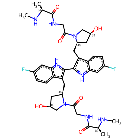 CN[C@@H](C)C(=O)NCC(=O)N1C[C@@H](O)C[C@H]1Cc1c(-c2[nH]c3cc(F)ccc3c2C[C@@H]2C[C@H](O)CN2C(=O)CNC(=O)[C@H](C)NC)[nH]c2cc(F)ccc12